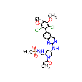 C=CC(=O)N1C[C@@H](Nc2ncc3cc(-c4c(Cl)c(OC)cc(OC)c4Cl)ccc3n2)C[C@H]1CNS(C)(=O)=O